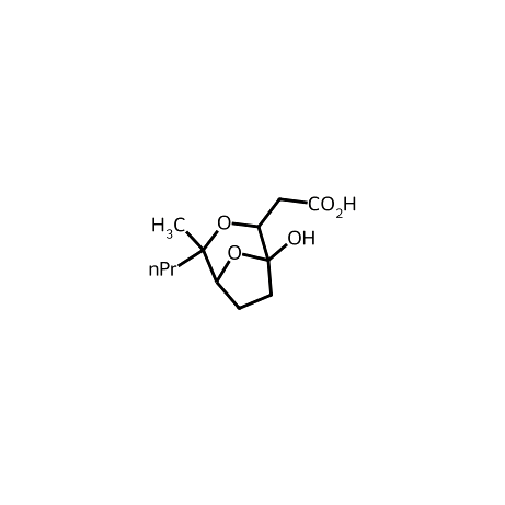 CCCC1(C)OC(CC(=O)O)C2(O)CCC1O2